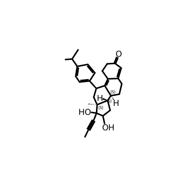 CC#CC1(O)C(O)C[C@H]2[C@@H]3CCC4=CC(=O)CCC4=C3C(c3ccc(C(C)C)cc3)C[C@@]21C